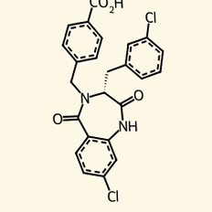 O=C(O)c1ccc(CN2C(=O)c3ccc(Cl)cc3NC(=O)[C@H]2Cc2cccc(Cl)c2)cc1